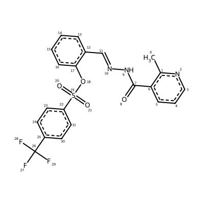 Cc1ncccc1C(=O)NN=Cc1ccccc1OS(=O)(=O)c1ccc(C(F)(F)F)cc1